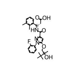 Cc1cccc([C@H](CC(=O)O)NC(=O)c2cc(OC[C@](C)(O)C(C)(C)C)n(-c3ccccc3F)n2)c1C